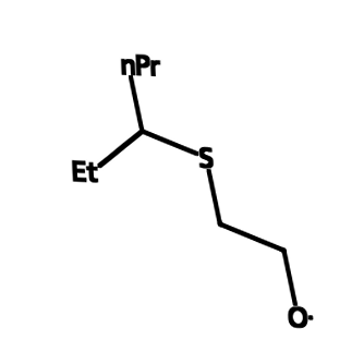 CCCC(CC)SCC[O]